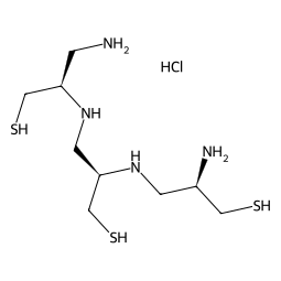 Cl.NC[C@H](CS)NC[C@H](CS)NC[C@@H](N)CS